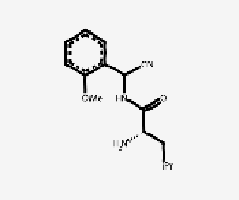 COc1ccccc1C(C#N)NC(=O)[C@@H](N)CC(C)C